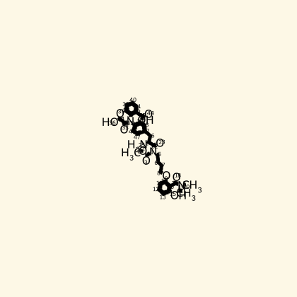 COC(=O)N(CCCCOc1cccc(O)c1C(=O)N(C)C)C(=O)[C@@H](N)Cc1ccc(N(C(=O)C(=O)O)c2ccccc2C(=O)O)cc1